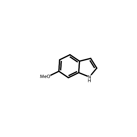 [CH2]Oc1ccc2cc[nH]c2c1